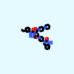 CCc1cccc(NC(=O)N[C@@H](CC(=O)N2CCC(N3Cc4ccccc4NC3=O)CC2)C(=O)N2CCC(N3CCCCC3)CC2)c1